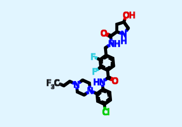 O=C(Nc1ccc(Cl)cc1N1CCN(CCC(F)(F)F)CC1)c1ccc(CNC(=O)C2CC(O)CN2)c(F)c1F